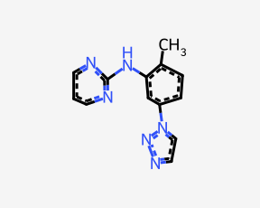 Cc1ccc(-n2ccnn2)cc1Nc1ncccn1